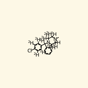 [2H]c1c([2H])c(C([2H])(c2ccccc2)N2C([2H])([2H])C([2H])([2H])N(C)C([2H])([2H])C2([2H])[2H])c([2H])c([2H])c1Cl